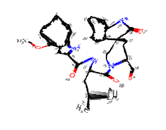 COc1cccc2[nH]c(C(=O)NC(CC(C)C)C(=O)N3C[C@]4(C[C@H]3C=O)C(=O)Nc3ccccc34)cc12